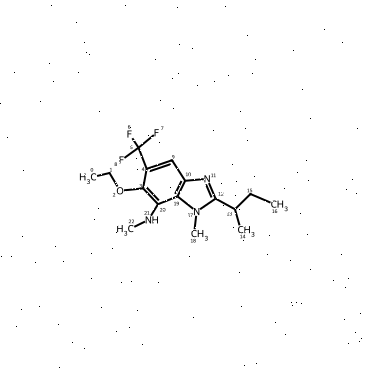 CCOc1c(C(F)(F)F)cc2nc(C(C)CC)n(C)c2c1NC